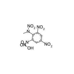 CN(c1c([N+](=O)[O-])cc([N+](=O)[O-])cc1[N+](=O)[O-])[N+](=O)[O-].O=NO